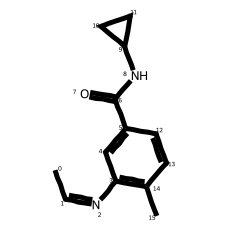 C/C=N\c1cc(C(=O)NC2CC2)ccc1C